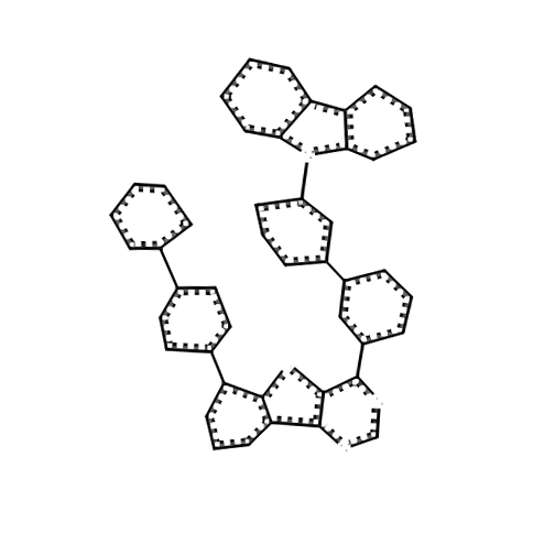 c1ccc(-c2ccc(-c3cccc4c3sc3c(-c5cccc(-c6cccc(-n7c8ccccc8c8ccccc87)c6)c5)ncnc34)cc2)cc1